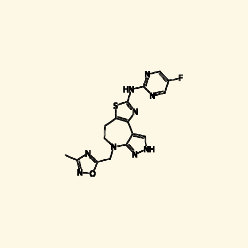 Cc1noc(CN2CCc3sc(Nc4ncc(F)cn4)nc3-c3c[nH]nc32)n1